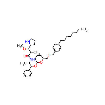 CCCCCCCCc1ccc(COCC2CCCC(O[C@@H](c3ccccc3)[C@@H](C)NC(=O)[C@H](C)[C@@H](OC)[C@@H]3CCCN3)O2)cc1